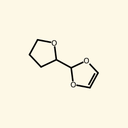 C1=COC(C2CCCO2)O1